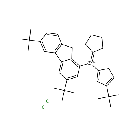 CC(C)(C)C1=CC[C]([Zr+2](=[C]2CCCC2)[c]2cc(C(C)(C)C)cc3c2Cc2ccc(C(C)(C)C)cc2-3)=C1.[Cl-].[Cl-]